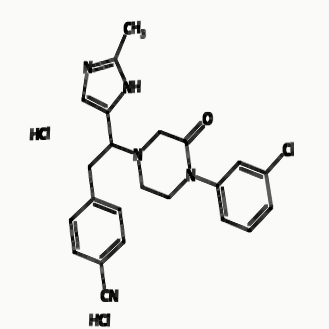 Cc1ncc(C(Cc2ccc(C#N)cc2)N2CCN(c3cccc(Cl)c3)C(=O)C2)[nH]1.Cl.Cl